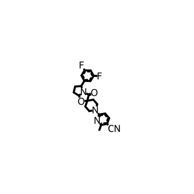 Cc1nc(N2CCC3(CC2)OC2CCC(c4cc(F)cc(F)c4)N2C3=O)ccc1C#N